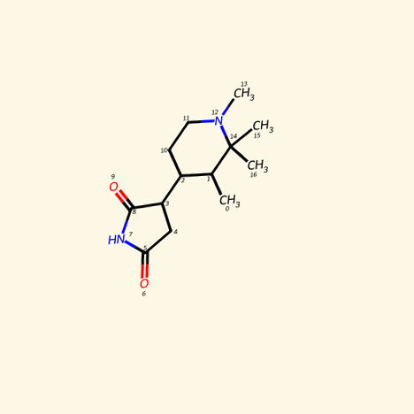 CC1C(C2CC(=O)NC2=O)CCN(C)C1(C)C